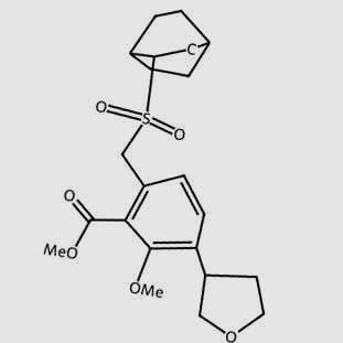 COC(=O)c1c(CS(=O)(=O)C2CC3CCC2CC3)ccc(C2CCOC2)c1OC